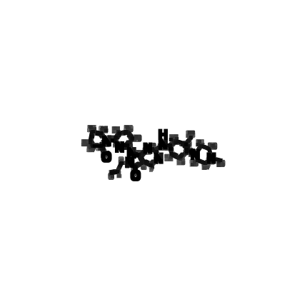 C=CCn1c(=O)c2cnc(Nc3ccc(N4CCN(C)CC4)c(C)c3)nc2n1-c1cccc(-n2ccccc2=O)n1